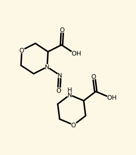 O=C(O)C1COCCN1.O=NN1CCOCC1C(=O)O